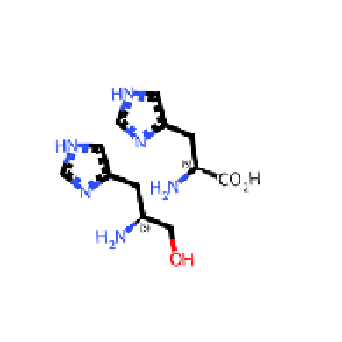 N[C@@H](Cc1c[nH]cn1)C(=O)O.N[C@H](CO)Cc1c[nH]cn1